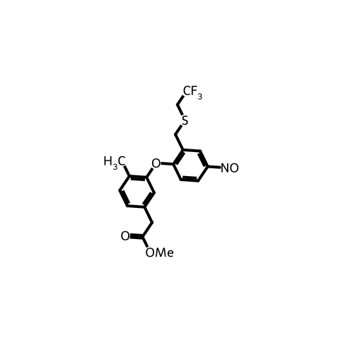 COC(=O)Cc1ccc(C)c(Oc2ccc(N=O)cc2CSCC(F)(F)F)c1